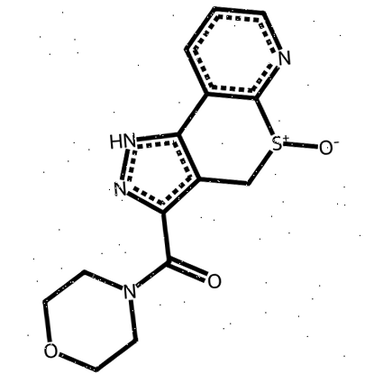 O=C(c1n[nH]c2c1C[S+]([O-])c1ncccc1-2)N1CCOCC1